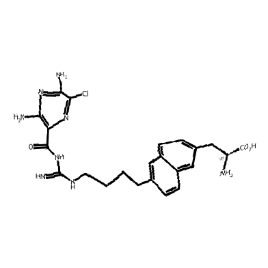 N=C(NCCCCc1ccc2cc(C[C@H](N)C(=O)O)ccc2c1)NC(=O)c1nc(Cl)c(N)nc1N